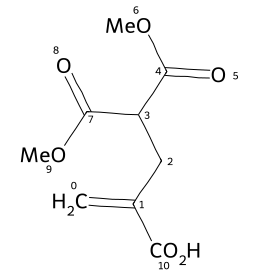 C=C(CC(C(=O)OC)C(=O)OC)C(=O)O